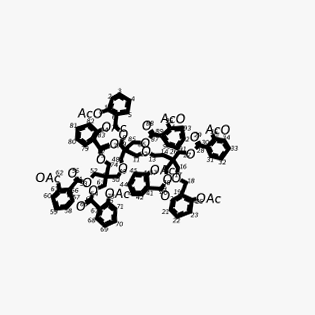 CC(=O)Oc1ccccc1COCC(COCCC(COCc1ccccc1OC(C)=O)(COC(=O)c1ccccc1OC(C)=O)COC(=O)c1ccccc1OC(C)=O)(COCC(COC(=O)c1ccccc1OC(C)=O)(COC(=O)c1ccccc1OC(C)=O)COC(=O)c1ccccc1OC(C)=O)COC(=O)c1ccccc1OC(C)=O